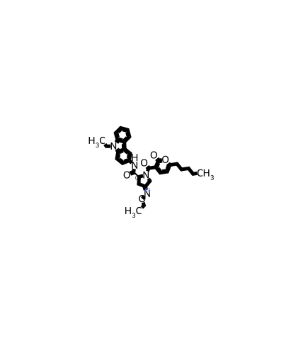 CCCCCc1ccc(C(=O)N2C/C(=N/OCC)C[C@H]2C(=O)Nc2ccc3c(c2)c2ccccc2n3CC)c(=O)o1